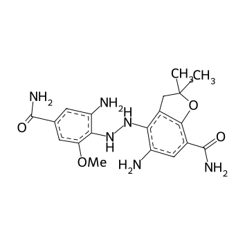 COc1cc(C(N)=O)cc(N)c1NNc1c(N)cc(C(N)=O)c2c1CC(C)(C)O2